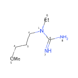 CCN(CCCOC)C(=N)N